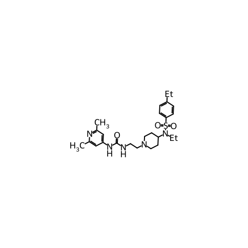 CCc1ccc(S(=O)(=O)N(CC)C2CCN(CCNC(=O)Nc3cc(C)nc(C)c3)CC2)cc1